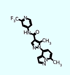 Cc1c(C(=O)Nc2ccnc(C(F)(F)F)c2)cnn1-c1ccc(C)n2nccc12